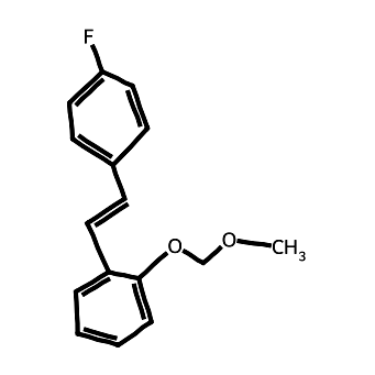 COCOc1ccccc1C=Cc1ccc(F)cc1